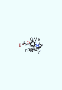 CCCC.COc1cc(N2CCC[C@H]2C=O)c([N+](=O)[O-])cc1OCCBr